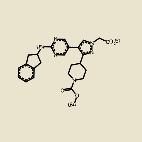 CCOC(=O)Cn1cc(-c2cnc(NC3Cc4ccccc4C3)nc2)c(C2CCN(C(=O)OC(C)(C)C)CC2)n1